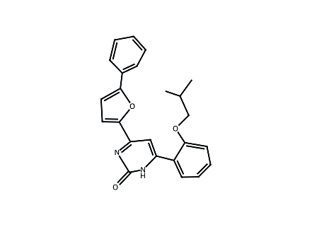 CC(C)COc1ccccc1-c1cc(-c2ccc(-c3ccccc3)o2)nc(=O)[nH]1